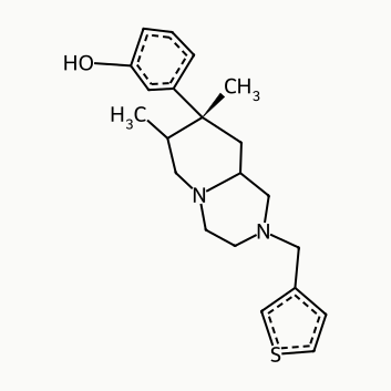 CC1CN2CCN(Cc3ccsc3)CC2C[C@@]1(C)c1cccc(O)c1